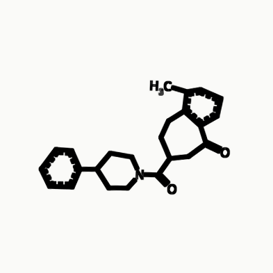 Cc1cccc2c1CCC(C(=O)N1CCC(c3ccccc3)CC1)CC2=O